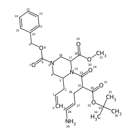 C=CCC1CN(C(=O)OCc2ccccc2)CC(C(=O)OC)N1C(=O)C(CC=CN)C(=O)OC(C)(C)C